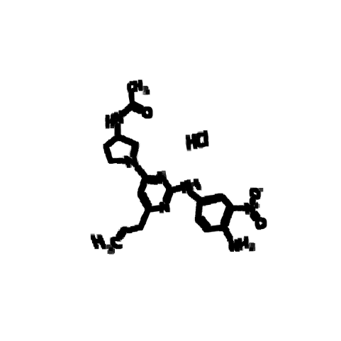 CCCc1cc(N2CCC(NC(C)=O)C2)nc(Nc2ccc(N)c([N+](=O)[O-])c2)n1.Cl